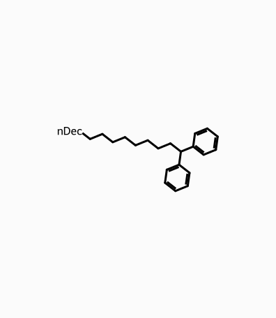 CCCCCCCCCCCCCCCCCCC(c1ccccc1)c1ccccc1